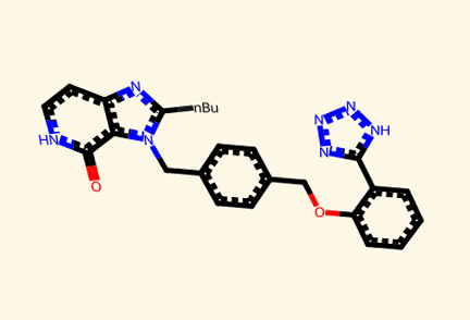 CCCCc1nc2cc[nH]c(=O)c2n1Cc1ccc(COc2ccccc2-c2nnn[nH]2)cc1